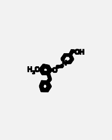 Cc1ccc(OCCN2CCC(CO)CC2)c(Cc2ccccc2)c1